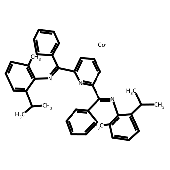 Cc1cccc(C(C)C)c1N=C(c1ccccc1)c1cccc(C(=Nc2c(C)cccc2C(C)C)c2ccccc2)n1.[Co]